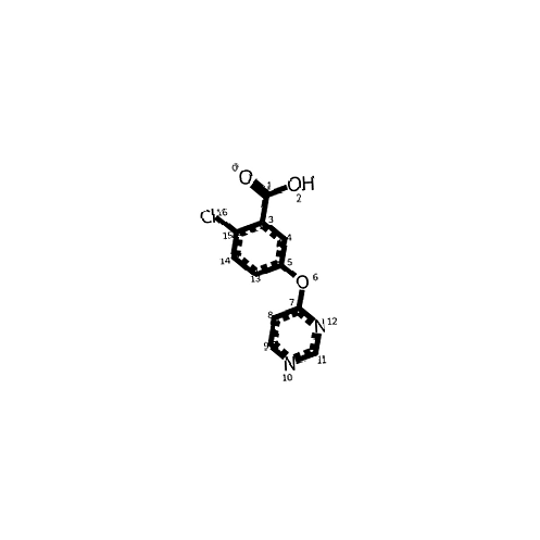 O=C(O)c1cc(Oc2ccncn2)ccc1Cl